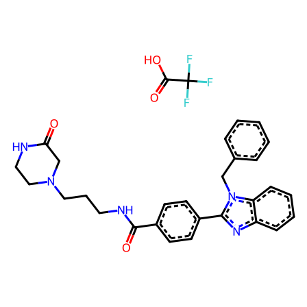 O=C(O)C(F)(F)F.O=C1CN(CCCNC(=O)c2ccc(-c3nc4ccccc4n3Cc3ccccc3)cc2)CCN1